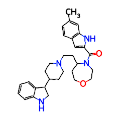 Cc1ccc2cc(C(=O)N3CCOCCC3CCN3CCC(C4CNc5ccccc54)CC3)[nH]c2c1